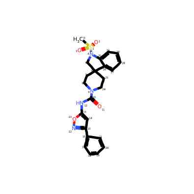 CS(=O)(=O)N1CC2(CCN(C(=O)Nc3cc(-c4ccccc4)no3)CC2)c2ccccc21